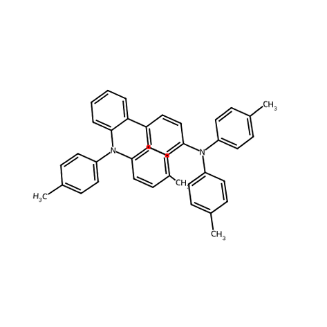 Cc1ccc(N(c2ccc(C)cc2)c2ccc(-c3ccccc3N(c3ccc(C)cc3)c3ccc(C)cc3)cc2)cc1